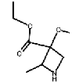 CCOC(=O)C1(OC)CNC1C